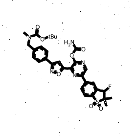 CN(Cc1ccc(-c2cc(-c3nc(-c4ccc5c(c4)C(F)C(C)(C)S5(=O)=O)cnc3OC(N)=O)on2)cc1)C(=O)OC(C)(C)C